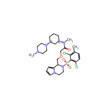 Cc1ccc(Cl)c(S(=O)(=O)N2CCn3cccc3C2COCC(=O)N(C)[C@@H]2CCC[C@H](N3CCN(C)CC3)C2)c1Cl